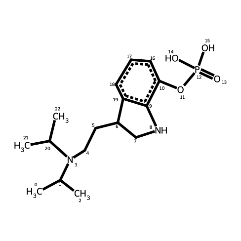 CC(C)N(CCC1CNc2c(OP(=O)(O)O)cccc21)C(C)C